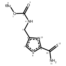 CC(C)(C)OC(=O)NCc1csc(C(N)=S)n1